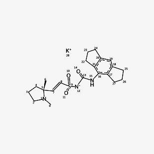 CN1CCC[C@]1(C)/C=C/S(=O)(=O)[N-]C(=O)Nc1c2c(cc3c1CCC3)CCC2.[K+]